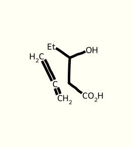 C=C=C.CCC(O)CC(=O)O